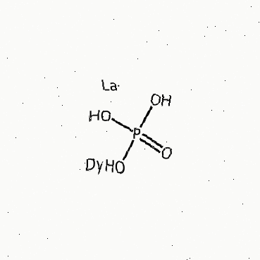 O=P(O)(O)O.[Dy].[La]